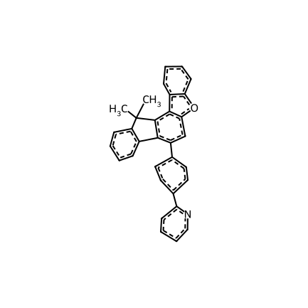 CC1(C)c2ccccc2-c2c(-c3ccc(-c4ccccn4)cc3)cc3oc4ccccc4c3c21